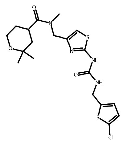 CN(Cc1csc(NC(=O)NCc2ccc(Cl)s2)n1)C(=O)C1CCOC(C)(C)C1